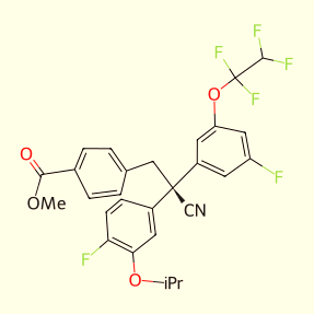 COC(=O)c1ccc(C[C@](C#N)(c2cc(F)cc(OC(F)(F)C(F)F)c2)c2ccc(F)c(OC(C)C)c2)cc1